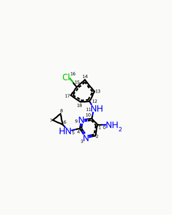 Nc1cnc(NC2CC2)nc1Nc1ccc(Cl)cc1